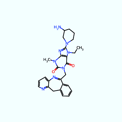 CCn1c(N2CCCC(N)C2)nc2c1c(=O)n(CC1=Nc3cccnc3Cc3ccccc31)c(=O)n2C